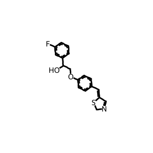 OC(COc1ccc(C=C2C=NCS2)cc1)c1cccc(F)c1